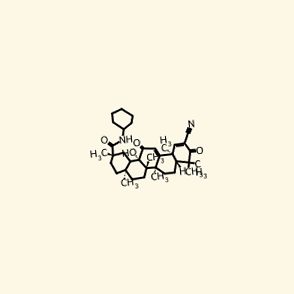 CC1(C)C(=O)C(C#N)=C[C@]2(C)C3=CC(=O)[C@]4(O)C5C[C@@](C)(C(=O)NC6CCCCC6)CC[C@]5(C)CC[C@@]4(C)[C@]3(C)CC[C@@H]12